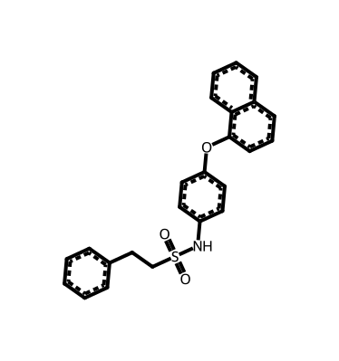 O=S(=O)(CCc1ccccc1)Nc1ccc(Oc2cccc3ccccc23)cc1